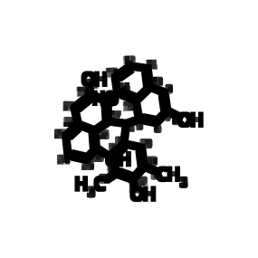 Cc1cc(C(c2cc(O)cc3cccc(O)c23)c2cc(O)cc3cccc(O)c23)cc(C)c1O